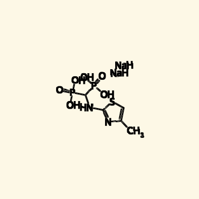 Cc1csc(NC(P(=O)(O)O)P(=O)(O)O)n1.[NaH].[NaH]